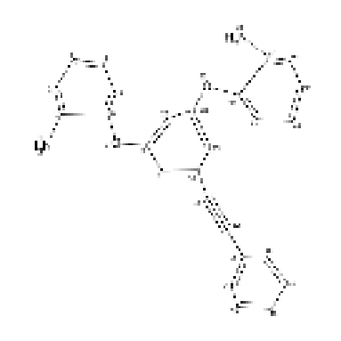 Nc1ccccc1Oc1cc(C#Cc2ccccc2)cc(Oc2ccccc2N)c1